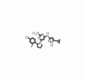 Nc1nc(Nc2cc(C3CC3)[nH]n2)cc(N2CCCC2c2ccc(Cl)cc2F)n1